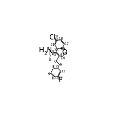 CN(N)C1=C(CCc2cccc(F)c2)COc2ccc(Cl)cc21